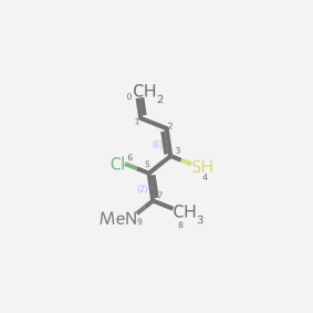 C=C/C=C(S)\C(Cl)=C(/C)NC